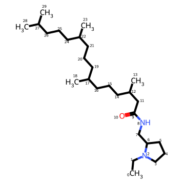 CCN1CCCC1CNC(=O)CC(C)CCCC(C)CCCC(C)CCCC(C)C